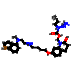 CCCN(CCNCCCCOc1ccc2c(c1)N(COC(=O)N(CCC(F)(F)F)NN)C(=O)CC2)c1cccc2sccc12